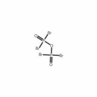 O=P(Br)(Br)OP(=O)(Br)Br